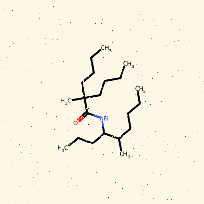 CCCCC(C)C(CCC)NC(=O)C(C)(CCCC)CCCC